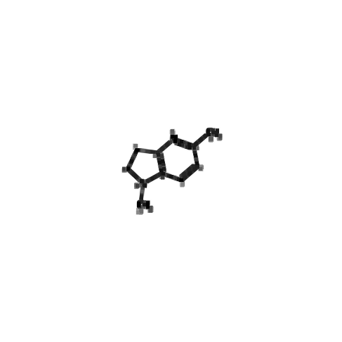 Cc1ccc2c(n1)CCN2C